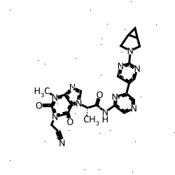 C[C@@H](C(=O)Nc1cncc(-c2cnc(N3CC4CC4C3)nc2)n1)n1cnc2c1c(=O)n(CC#N)c(=O)n2C